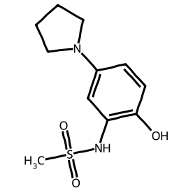 CS(=O)(=O)Nc1cc(N2CCCC2)ccc1O